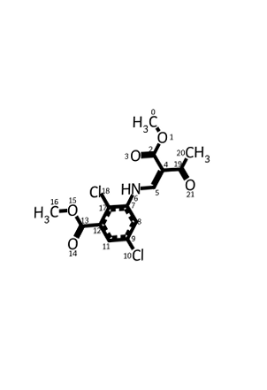 COC(=O)C(=CNc1cc(Cl)cc(C(=O)OC)c1Cl)C(C)=O